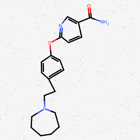 NC(=O)c1ccc(Oc2ccc(CCN3CCCCCC3)cc2)nc1